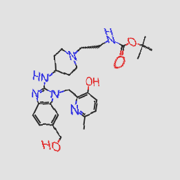 Cc1ccc(O)c(Cn2c(NC3CCN(CCNC(=O)OC(C)(C)C)CC3)nc3ccc(CO)cc32)n1